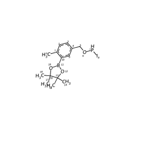 Cc1ccc(COPI)cc1B1OC(C)(C)C(C)(C)O1